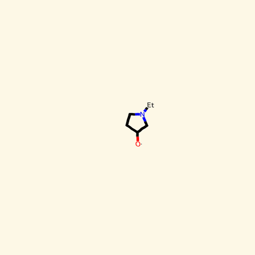 CCN1CCC([O])C1